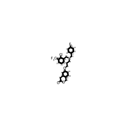 O=C1Cc2cc(OCCCN(Cc3ccc(F)cc3)Cc3cccc(C(F)(F)F)c3Cl)ccc2CO1